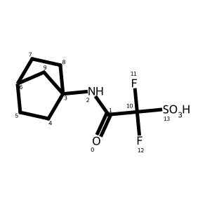 O=C(NC12CCC(CC1)C2)C(F)(F)S(=O)(=O)O